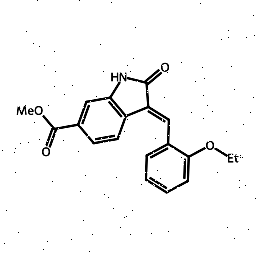 CCOc1ccccc1/C=C1/C(=O)Nc2cc(C(=O)OC)ccc21